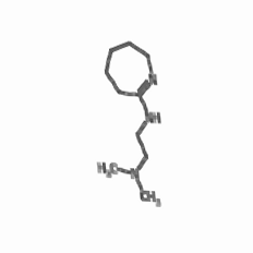 CN(C)CCNC1=NCCCCC1